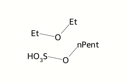 CCCCCOS(=O)(=O)O.CCOCC